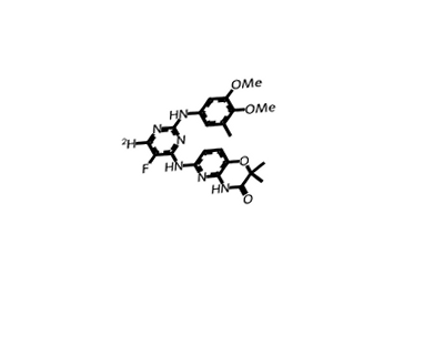 [2H]c1nc(Nc2cc(C)c(OC)c(OC)c2)nc(Nc2ccc3c(n2)NC(=O)C(C)(C)O3)c1F